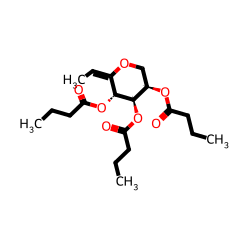 C/C=C1/OC[C@@H](OC(=O)CCC)[C@@H](OC(=O)CCC)[C@@H]1OC(=O)CCC